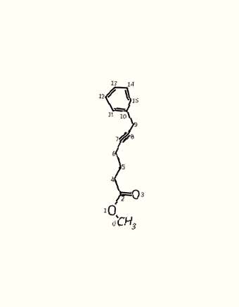 COC(=O)CCCC#CCc1ccccc1